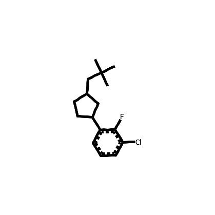 CC(C)(C)CC1CCC(c2cccc(Cl)c2F)C1